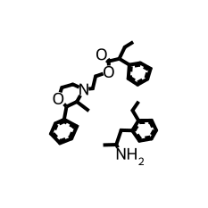 CCC(C(=O)OCCN1CCOC(c2ccccc2)C1C)c1ccccc1.CCc1ccccc1CC(C)N